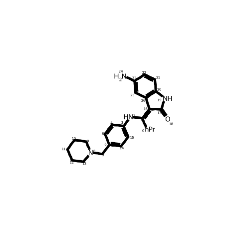 CCCC(Nc1ccc(CN2CCCCC2)cc1)=C1C(=O)Nc2ccc(N)cc21